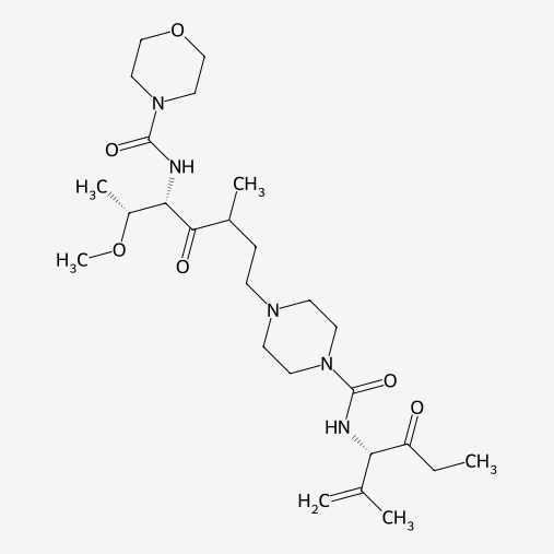 C=C(C)[C@H](NC(=O)N1CCN(CCC(C)C(=O)[C@@H](NC(=O)N2CCOCC2)[C@@H](C)OC)CC1)C(=O)CC